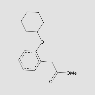 COC(=O)Cc1ccccc1OC1CCCCC1